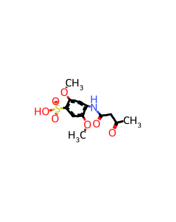 COc1cc(S(=O)(=O)O)c(OC)cc1NC(=O)CC(C)=O